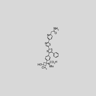 CC(C)(C)N(C(=O)O)[C@]1(c2ccc(-c3nc(-c4cnc(-c5ccc(CC(N)=O)nc5)s4)sc3-c3ccccc3)cc2)C[C@](C)(O)C1